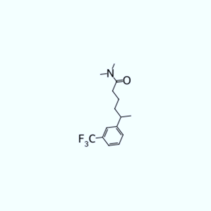 CC(CCCC(=O)N(C)C)c1cccc(C(F)(F)F)c1